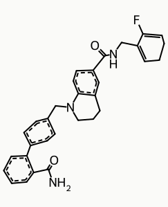 NC(=O)c1ccccc1-c1ccc(CN2CCCc3cc(C(=O)NCC4=CCCC=C4F)ccc32)cc1